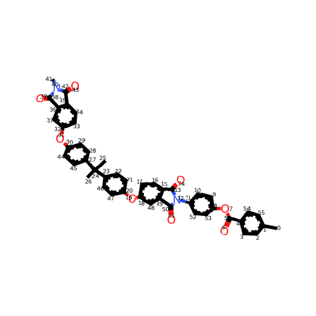 Cc1ccc(C(=O)Oc2ccc(N3C(=O)c4ccc(Oc5ccc(C(C)(C)c6ccc(Oc7ccc8c(c7)C(=O)N(C)C8=O)cc6)cc5)cc4C3=O)cc2)cc1